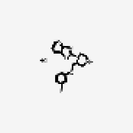 Cl.Fc1cccc(OCC2CNCCN2c2nc3ncccc3o2)c1